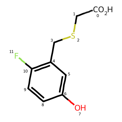 O=C(O)CSCc1cc(O)ccc1F